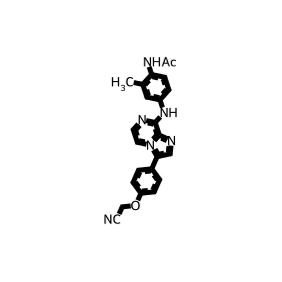 CC(=O)Nc1ccc(Nc2nccn3c(-c4ccc(OCC#N)cc4)cnc23)cc1C